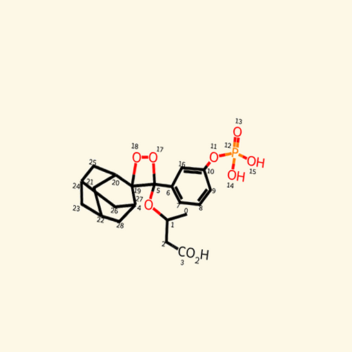 CC(CC(=O)O)OC1(c2cccc(OP(=O)(O)O)c2)OOC12C1CC3CC(C1)CC2C3